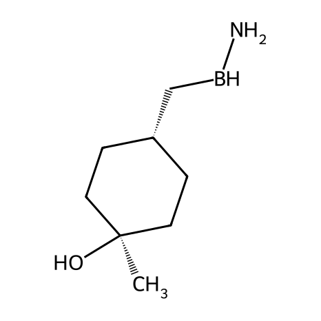 C[C@]1(O)CC[C@H](CBN)CC1